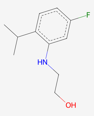 CC(C)c1ccc(F)cc1NCCO